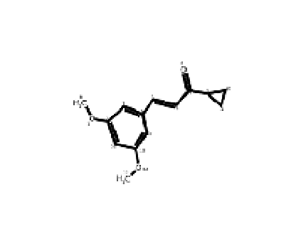 COc1cc(/C=C/C(=O)C2CC2)cc(OC)c1